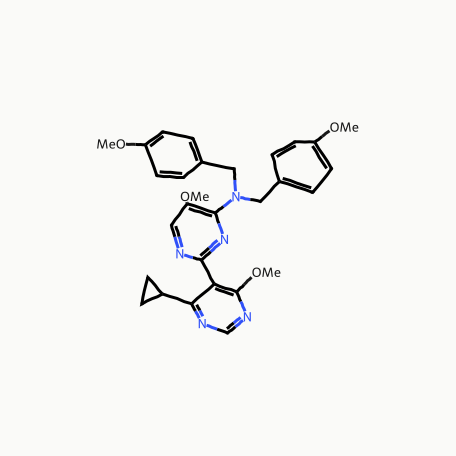 COc1ccc(CN(Cc2ccc(OC)cc2)c2nc(-c3c(OC)ncnc3C3CC3)ncc2OC)cc1